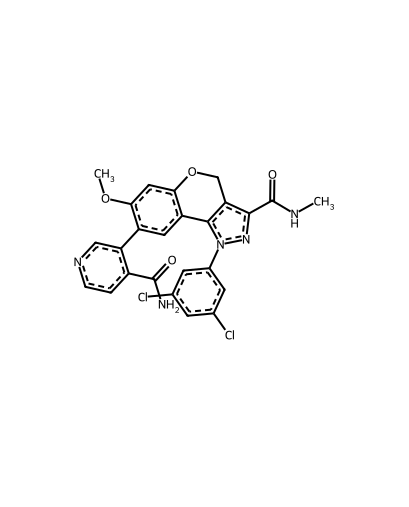 CNC(=O)c1nn(-c2cc(Cl)cc(Cl)c2)c2c1COc1cc(OC)c(-c3cnccc3C(N)=O)cc1-2